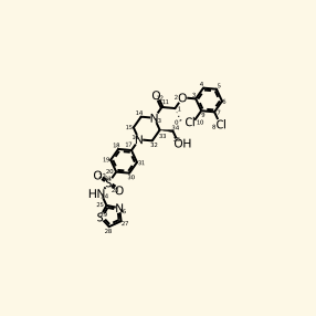 C[C@@H](Oc1cccc(Cl)c1Cl)C(=O)N1CCN(c2ccc(S(=O)(=O)Nc3nccs3)cc2)C[C@@H]1CO